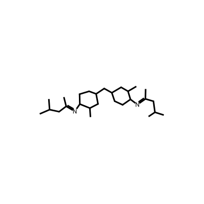 C/C(CC(C)C)=N\C1CCC(CC2CCC(/N=C(\C)CC(C)C)C(C)C2)CC1C